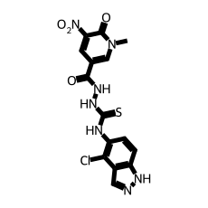 Cn1cc(C(=O)NNC(=S)Nc2ccc3[nH]ncc3c2Cl)cc([N+](=O)[O-])c1=O